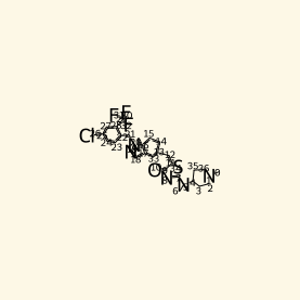 CN1CCC(N(C)C2=NC(=O)C(=Cc3ccc4c(cnn4Cc4ccc(Cl)cc4C(F)(F)F)c3)S2)CC1